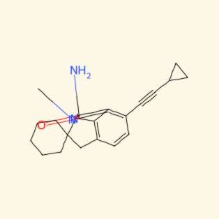 CN1C(=O)C2(N=C1N)c1cc(C#CC3CC3)ccc1CC21CCCCC1